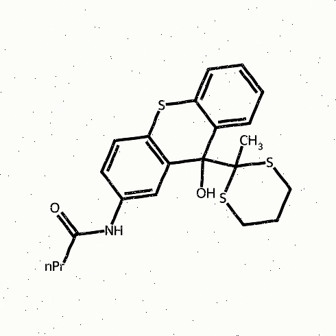 CCCC(=O)Nc1ccc2c(c1)C(O)(C1(C)SCCCS1)c1ccccc1S2